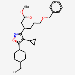 CC(C)C[C@H]1CC[C@@H](c2onc(C(CCCOCc3ccccc3)CC(=O)OC(C)(C)C)c2C2CC2)CC1